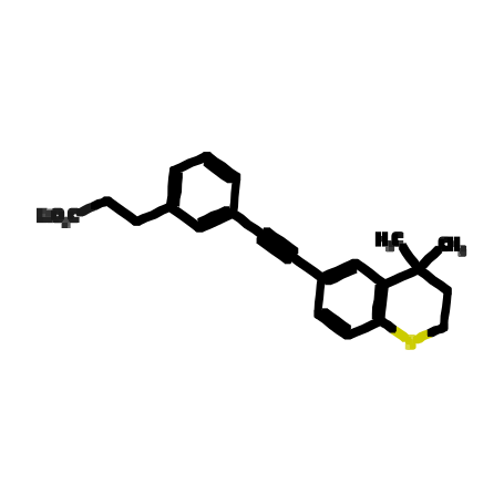 CCOC(=O)CCc1cccc(C#Cc2ccc3c(c2)C(C)(C)CCS3)c1